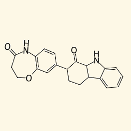 O=C1CCOc2cc(C3CCC4c5ccccc5NC4C3=O)ccc2N1